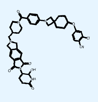 N#Cc1ccc(OC2CCC3(CC2)CN(c2ccc(C(=O)N4CCC(CN5Cc6cc7c(cc6C5)C(=O)N(C5CCC(=O)NC5O)C7=O)CC4)cc2)C3)cc1Cl